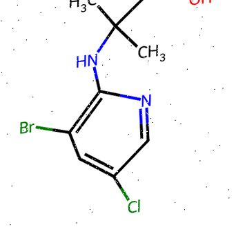 CC(C)(CO)Nc1ncc(Cl)cc1Br